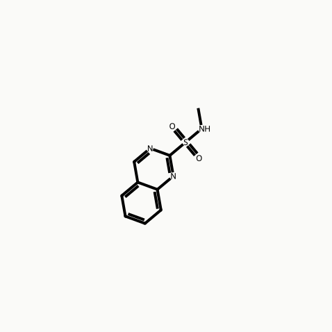 CNS(=O)(=O)c1ncc2ccccc2n1